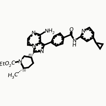 CCOC(=O)N1C[C@H](c2nc(-c3ccc(C(=O)Nc4cc(C5CC5)ccn4)cc3)c3c(N)nccn23)CC[C@@H]1C